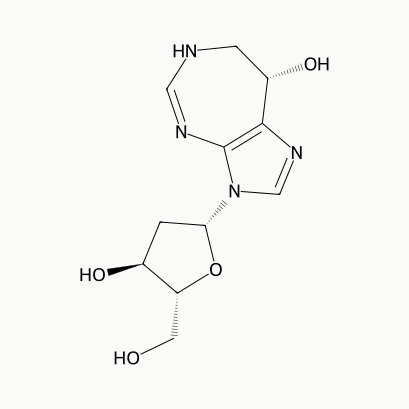 OC[C@H]1O[C@@H](n2cnc3c2N=CNC[C@@H]3O)C[C@@H]1O